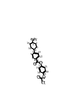 CCCC1CCC(c2ccc(C(=O)Oc3ccc(OC(=O)CC)cc3)cc2)CC1